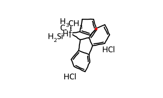 Cl.Cl.[CH3][Hf]([CH3])(=[SiH2])([C]1=CC=CC1)[CH]1c2ccccc2-c2ccccc21